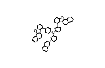 c1cc(-c2ccc3ccccc3c2)cc(N(c2ccc(-c3cccc4oc5c6ccccc6ccc5c34)cc2)c2cccc(-c3cccc4oc5c6ccccc6ccc5c34)c2)c1